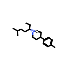 CCC(CCC(C)C)N1CCC(c2ccc(C)cc2)CC1